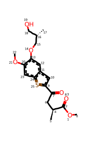 COC(=O)[C@@H](C)CC(=O)c1cc2cc(OC[C@@H](C)CO)c(OC)cc2s1